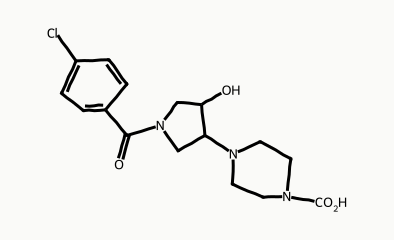 O=C(O)N1CCN(C2CN(C(=O)c3ccc(Cl)cc3)CC2O)CC1